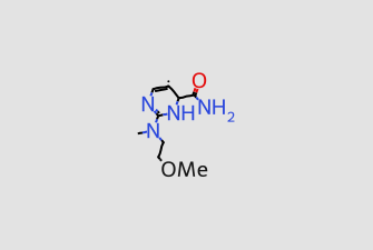 COCCN(C)C1=NC=[C]C(C(N)=O)N1